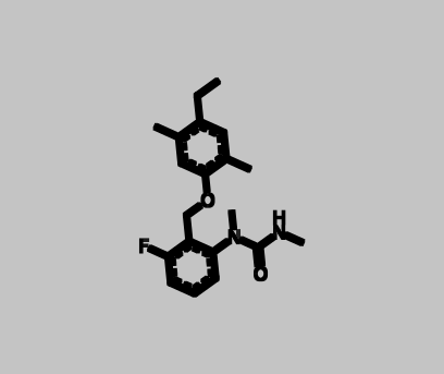 CCc1cc(C)c(OCc2c(F)cccc2N(C)C(=O)NC)cc1C